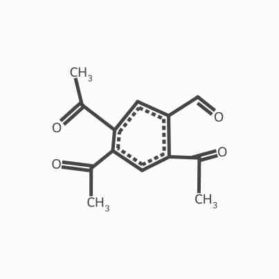 CC(=O)c1cc(C(C)=O)c(C(C)=O)cc1C=O